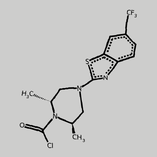 C[C@@H]1CN(c2nc3ccc(C(F)(F)F)cc3s2)C[C@@H](C)N1C(=O)Cl